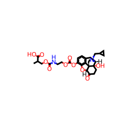 CC(COC(=O)NCCOC(=O)Oc1ccc2c3c1O[C@H]1C(=O)CC[C@@]4(O)[C@@H](C2)N(CC2CC2)CC[C@]314)C(=O)O